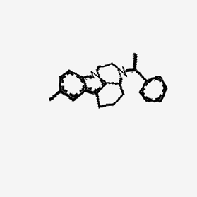 Cc1ccc2c(c1)c1c3n2CCN(C(C)c2ccccc2)C3CCC1